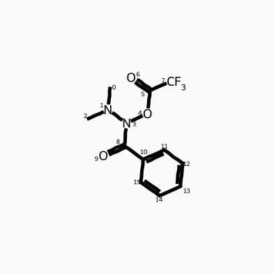 CN(C)N(OC(=O)C(F)(F)F)C(=O)c1ccccc1